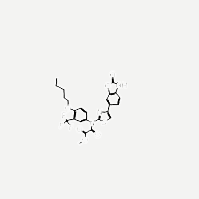 CCCCCOc1ccc(N(C(=O)C(=O)OC)c2nc(-c3ccc4[nH]c(=O)oc4c3)cs2)cc1C(F)(F)F